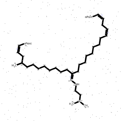 CCCCC/C=C\C/C=C\CCCCCCCC/C(CCCCCCCCC(C)C/C=C\CCCCC)=N\NCCN(C)C